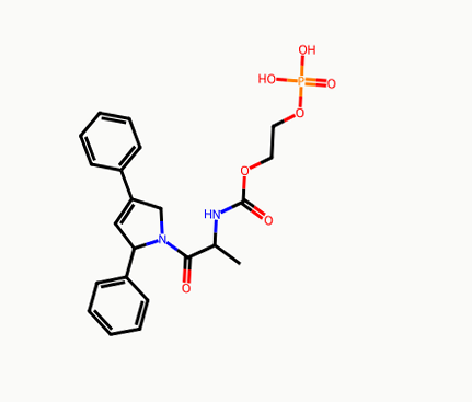 CC(NC(=O)OCCOP(=O)(O)O)C(=O)N1CC(c2ccccc2)=CC1c1ccccc1